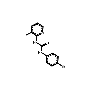 CCc1ccc(NC(=O)Nc2ncccc2C)cc1